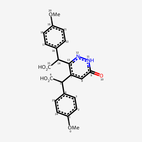 COc1ccc(C(C(=O)O)c2cc(=O)[nH]nc2C(C(=O)O)c2ccc(OC)cc2)cc1